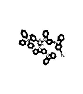 N#Cc1ccc2c(c1)c1ccccc1n2-c1ccc2c(c1)c1ccccc1n2-c1nc(-c2cccc([Si](c3ccccc3)(c3ccccc3)c3ccccc3)c2)nc(-n2c3ccccc3c3cc(-n4c5ccccc5c5ccccc54)ccc32)n1